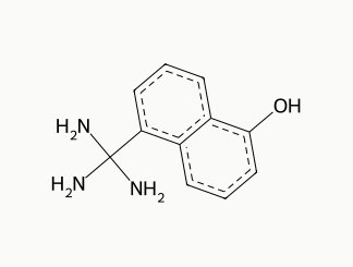 NC(N)(N)c1cccc2c(O)cccc12